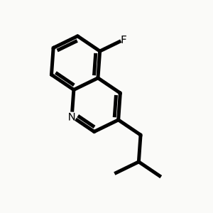 CC(C)Cc1cnc2cccc(F)c2c1